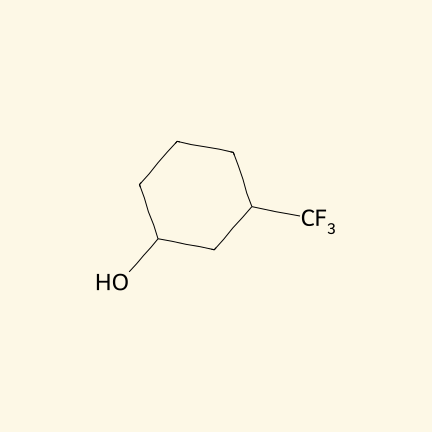 OC1CCCC(C(F)(F)F)C1